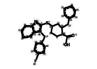 O=C(O)N1CCC(Sc2nc3ccccc3n2Cc2ccc(F)cc2)CC1Cc1ccccc1